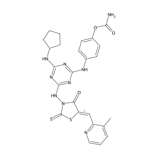 Cc1cccnc1/C=C1\SC(=S)N(Nc2nc(Nc3ccc(OC(N)=O)cc3)nc(NC3CCCC3)n2)C1=O